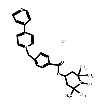 CC1(C)CC(OC(=O)c2ccc(C[n+]3ccc(-c4ccncc4)cc3)cc2)CC(C)(C)N1O.[Cl-]